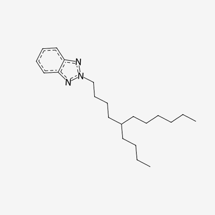 CCCCCCC(CCCC)CCCCn1nc2ccccc2n1